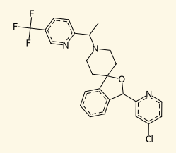 CC(c1ccc(C(F)(F)F)cn1)N1CCC2(CC1)OC(c1cc(Cl)ccn1)c1ccccc12